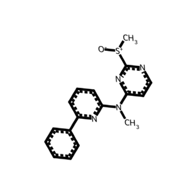 CN(c1cccc(-c2ccccc2)n1)c1ccnc([S+](C)[O-])n1